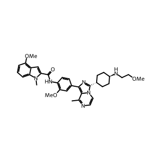 COCCN[C@H]1CC[C@H](c2nc(-c3ccc(NC(=O)c4cc5c(OC)cccc5n4C)c(OC)c3)c3c(C)nccn32)CC1